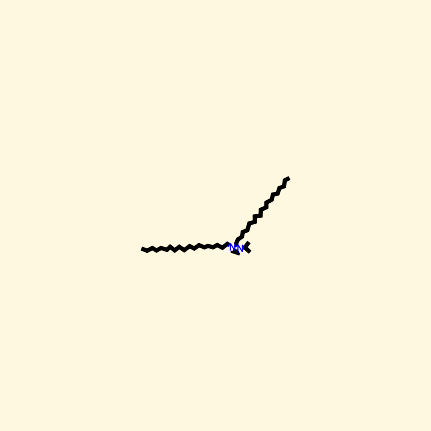 CCCCCCCCCCCCCCCCCCCN1C=CN(C(C)C)C1CCCCCCCCCCCCCCCCCC